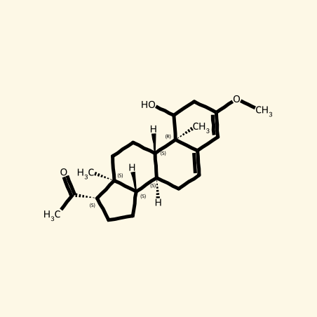 COC1=CC2=CC[C@H]3[C@@H]4CC[C@H](C(C)=O)[C@@]4(C)CC[C@@H]3[C@@]2(C)C(O)C1